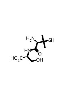 CC(C)(S)[C@H](N)C(=O)N[C@@H](CO)C(=O)O